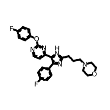 Fc1ccc(Oc2nccc(-c3[nH]c(CCCN4CCOCC4)nc3-c3ccc(F)cc3)n2)cc1